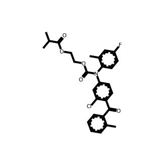 Cc1ccccc1C(=O)c1ccc(N(C(=O)OCCOC(=O)C(C)C)c2ccc(F)cc2C)cc1Cl